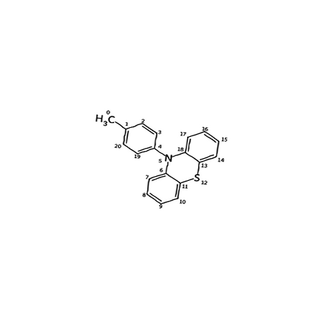 Cc1ccc(N2c3ccccc3Sc3ccccc32)cc1